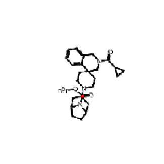 CCCOC(=O)N1C2CCC1CC(N1CCC3(CC1)CN(C(=O)C1CC1)Cc1ccccc13)C2